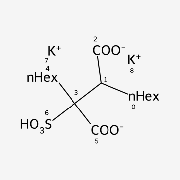 CCCCCCC(C(=O)[O-])C(CCCCCC)(C(=O)[O-])S(=O)(=O)O.[K+].[K+]